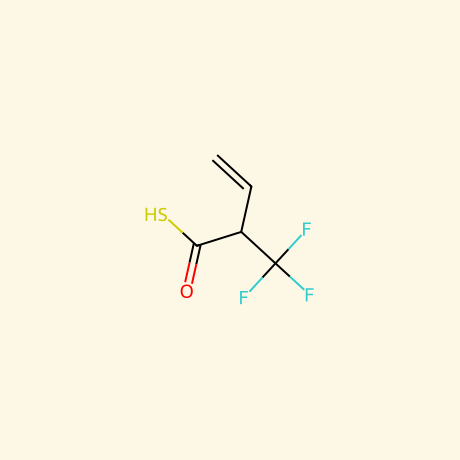 C=CC(C(=O)S)C(F)(F)F